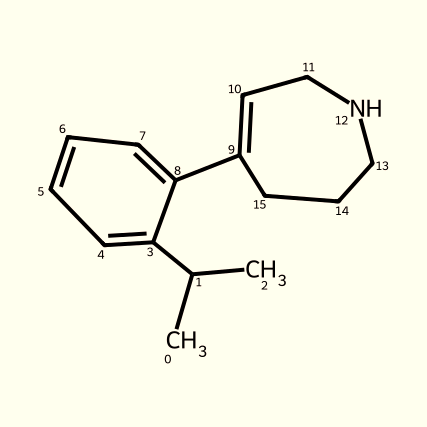 CC(C)c1ccccc1C1=CCNCCC1